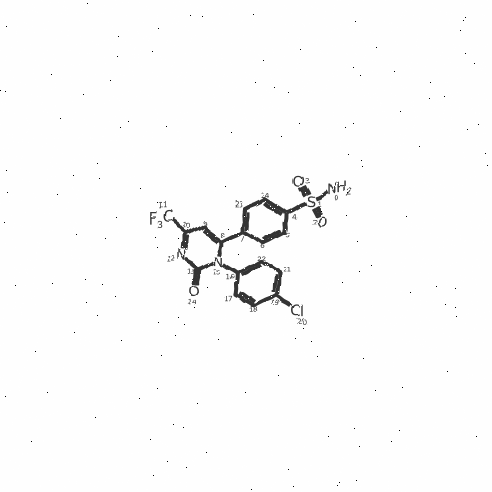 NS(=O)(=O)c1ccc(-c2cc(C(F)(F)F)nc(=O)n2-c2ccc(Cl)cc2)cc1